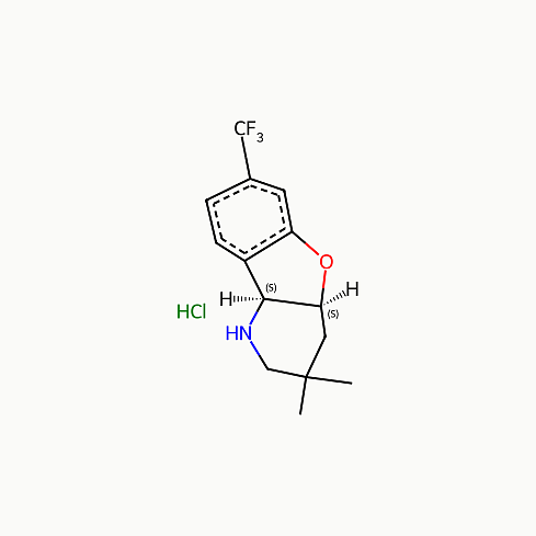 CC1(C)CN[C@H]2c3ccc(C(F)(F)F)cc3O[C@H]2C1.Cl